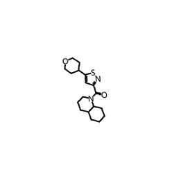 O=C(c1cc(C2CCOCC2)sn1)N1CCCC2CCCCC21